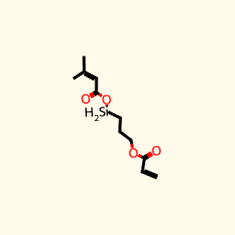 C=CC(=O)OCCC[SiH2]OC(=O)C=C(C)C